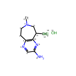 CCN1CCc2ncc(N)nc2C(C)C1.Cl.Cl